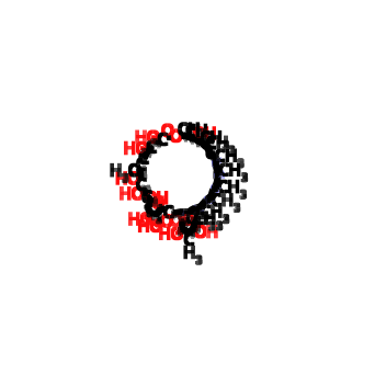 CC1=C/C(C)=C/C(C)=C/C(C)=C/C(C)=C/[C@H](O[C@H]2O[C@@H](C)[C@@H](O)[C@@H](C)[C@H]2O)CC2O[C@@](O)(CC(O)[C@H]2C(=O)O)C[C@@H](O)C[C@@H](O)[C@H](C)CC[C@@H](O)C[C@@H](O)CC(=O)OC(C)[C@@H](C)[C@H](O)[C@H](C)C(C)C\C(C)=C\1